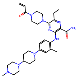 C=CC(=O)N1CCN(c2nc(Nc3ccc(N4CCC(N5CCN(C)CC5)CC4)cc3C)c(C(N)=O)nc2CC)CC1